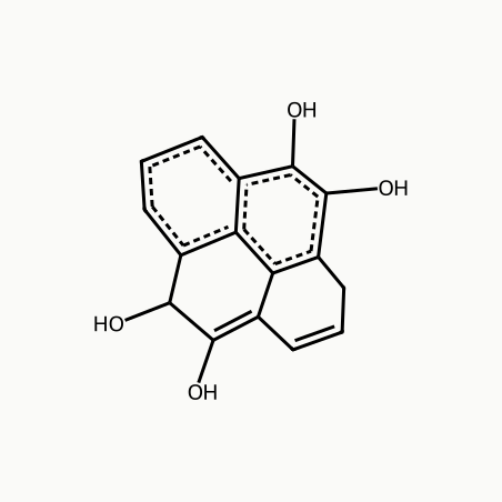 OC1=C2C=CCc3c(O)c(O)c4cccc(c4c32)C1O